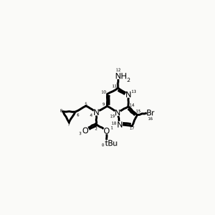 CC(C)(C)OC(=O)N(CC1CC1)c1cc(N)nc2c(Br)cnn12